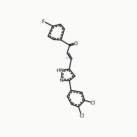 O=C(/C=C/c1cc(-c2ccc(Cl)c(Cl)c2)n[nH]1)c1ccc(F)cc1